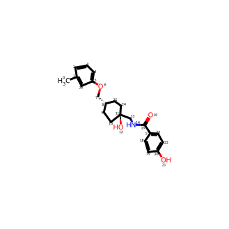 Cc1cccc(OC[C@H]2CC[C@@](O)(CNC(=O)c3ccc(O)cc3)CC2)c1